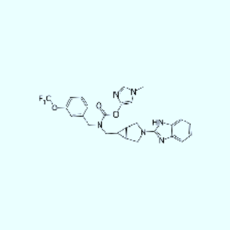 Cn1cnc(OC(=O)N(Cc2cccc(OC(F)(F)F)c2)CC2C3CN(c4nc5ccccc5[nH]4)CC23)c1